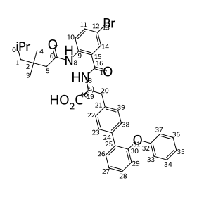 CC(C)CC(C)(C)CC(=O)Nc1ccc(Br)cc1C(=O)N[C@@H](Cc1ccc(-c2ccccc2Oc2ccccc2)cc1)C(=O)O